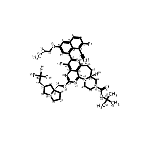 C#Cc1c(F)ccc2cc(OCOC)cc(-c3nc4c5c(nc(OC[C@]67CCCN6C[C@@H](CC(F)(F)F)C7)nc5c3F)N3CCN(C(=O)OC(C)(C)C)C[C@H]3CC4)c12